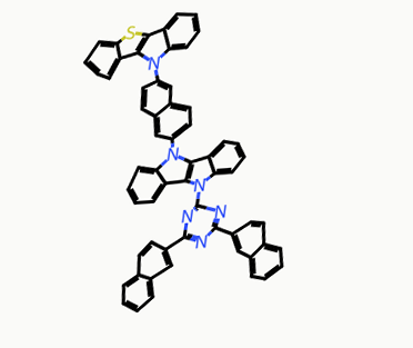 c1ccc2cc(-c3nc(-c4ccc5ccccc5c4)nc(-n4c5ccccc5c5c4c4ccccc4n5-c4ccc5cc(-n6c7ccccc7c7sc8ccccc8c76)ccc5c4)n3)ccc2c1